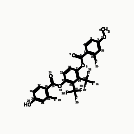 COc1ccc(C(=O)Oc2ccc(OC(=O)c3ccc(O)cc3F)c(C(F)(F)F)c2C(F)(F)F)c(F)c1